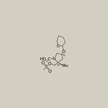 CC(C)(C)[C@]1(COS(C)(=O)=O)C[C@H](OC2CCCCO2)CN1C(=O)O